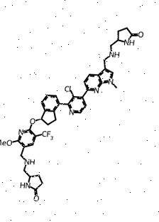 COc1nc(O[C@@H]2CCc3c(-c4nccc(-c5ccc6c(CNCC7CCC(=O)N7)cn(C)c6n5)c4Cl)cccc32)c(C(F)(F)F)cc1CNCC1CCC(=O)N1